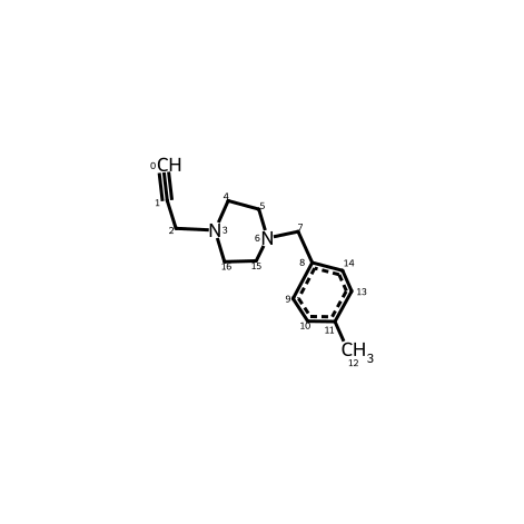 C#CCN1CCN(Cc2ccc(C)cc2)CC1